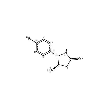 N[C@@H]1CC(=O)N[C@H]1c1ccc(F)cc1